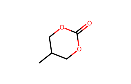 CC1COC(=O)OC1